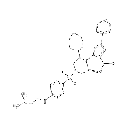 CN(C)CCNc1ccc(S(=O)(=O)N2CC(=O)N(c3cc(-c4ccccc4)sc3C(=O)O)C(C3CCCCC3)C2)cn1